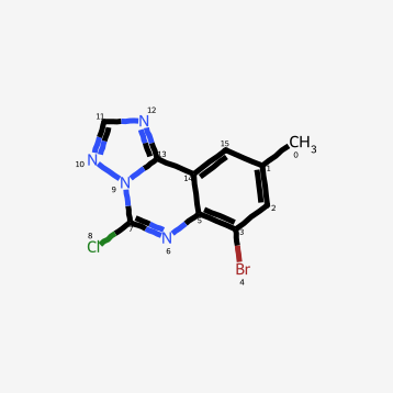 Cc1cc(Br)c2nc(Cl)n3ncnc3c2c1